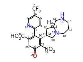 O=C(O)C1=C(c2ccc(C(F)(F)F)cn2)C([C@@H]2C[C@H]3CNCCCN3C2)=C([N+](=O)[O-])C(=O)C1